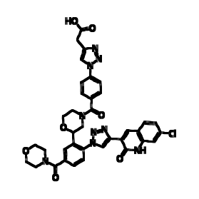 O=C(O)Cc1cn(-c2ccc(C(=O)N3CCOC(c4cc(C(=O)N5CCOCC5)ccc4-n4cc(-c5cc6ccc(Cl)cc6[nH]c5=O)nn4)C3)cc2)nn1